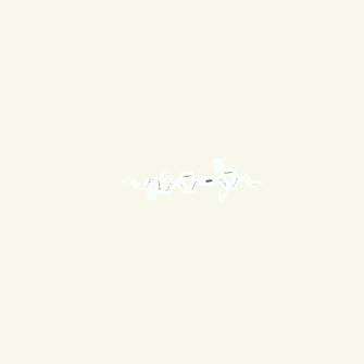 CCCc1cc(F)c(C#Cc2ccc(-c3cc4sc(CCC)cc4s3)cc2)c(F)c1